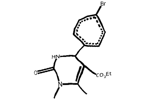 CCOC(=O)C1=C(C)N(C)C(=O)NC1c1ccc(Br)cc1